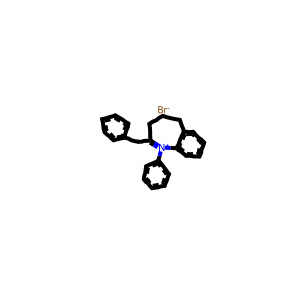 [Br-].c1ccc(CC2=[N+](c3ccccc3)c3ccccc3CCC2)cc1